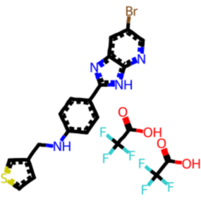 Brc1cnc2[nH]c(-c3ccc(NCc4ccsc4)cc3)nc2c1.O=C(O)C(F)(F)F.O=C(O)C(F)(F)F